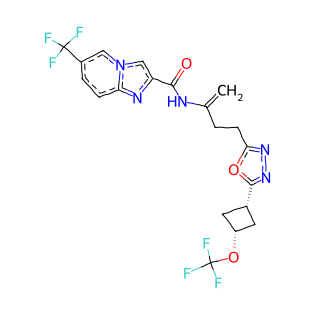 C=C(CCc1nnc([C@H]2C[C@@H](OC(F)(F)F)C2)o1)NC(=O)c1cn2cc(C(F)(F)F)ccc2n1